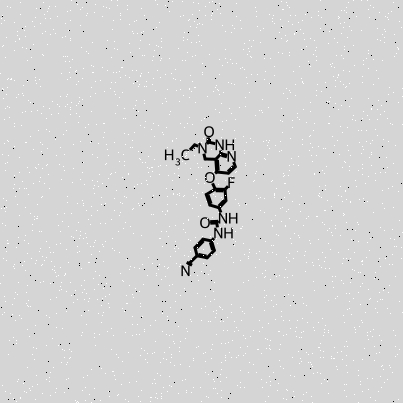 CCN1Cc2c(Oc3ccc(NC(=O)Nc4ccc(C#N)cc4)cc3F)ccnc2NC1=O